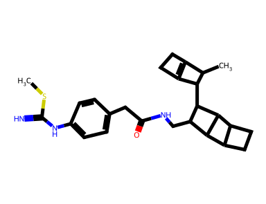 CSC(=N)Nc1ccc(CC(=O)NCC2C3C4CCC4C3C2C2C3=C(CC3)C2C)cc1